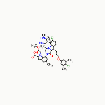 CN/C(C)=C(\C=N)c1c(Cl)ccc2c(CCCOc3cc(C)c(Cl)c(C)c3)c3n(c12)[C@H](C)CN(c1cc(C)cc2cc(C(=O)O)n(CCOC)c12)C3=O